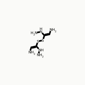 N/C=C(\NN)SS/C(=C/N)NN